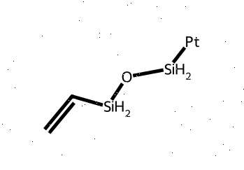 C=C[SiH2]O[SiH2][Pt]